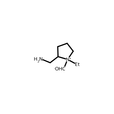 CC[N+]1([C]=O)CCCC1CN